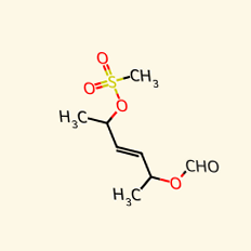 CC(C=CC(C)OS(C)(=O)=O)OC=O